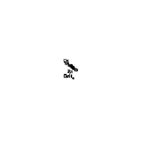 [Cd].[GeH4].[O]=[Pb].[Zn]